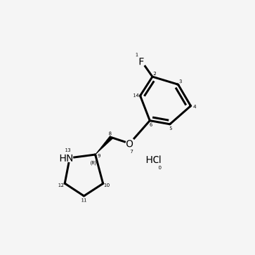 Cl.Fc1cccc(OC[C@H]2CCCN2)c1